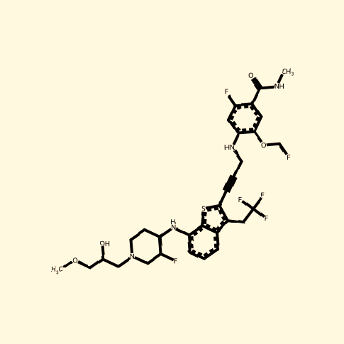 CNC(=O)c1cc(OCF)c(NCC#Cc2sc3c(NC4CCN(CC(O)COC)CC4F)cccc3c2CC(F)(F)F)cc1F